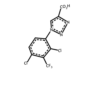 O=C(O)c1cn(-c2ccc(Cl)c(C(F)(F)F)c2Cl)nn1